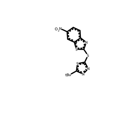 CC(C)(C)c1nnc(Sc2nc3ccc([N+](=O)[O-])cc3s2)s1